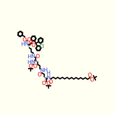 CC(C)(C)OC(=O)CCCCCCCCCCCCCCCCC(=O)N[C@@H](CCC(=O)NCCCC[C@H](NC(=O)OC(C)(C)C)C(=O)NCCCC[C@H](NC(=O)OCc1ccccc1)C(=O)OC(c1ccccc1)(c1ccccc1)c1ccccc1Cl)C(=O)OC(C)(C)C